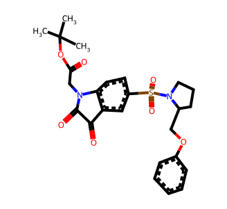 CC(C)(C)OC(=O)CN1C(=O)C(=O)c2cc(S(=O)(=O)N3CCCC3COc3ccccc3)ccc21